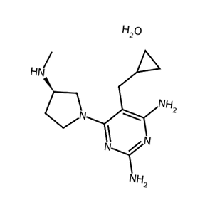 CN[C@@H]1CCN(c2nc(N)nc(N)c2CC2CC2)C1.O